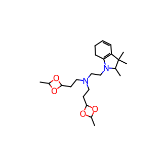 CC1OC(CCN(CCC2OC(C)O2)CCN2C3=C(C=CCC3)C(C)(C)C2C)O1